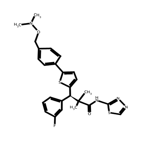 CN(C)OCc1ccc(-c2ccc([C@H](c3cccc(F)c3)C(C)(C)C(=O)Nc3nncs3)s2)cc1